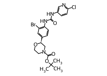 CC(C)(C)OC(=O)N1CCO[C@@H](c2ccc(NC(=O)Nc3ccc(Cl)nc3)c(Br)c2)C1